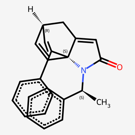 C[C@@H](c1ccccc1)N1C(=O)C=C2C[C@@H]3C=C[C@@]21C(c1ccccc1)=C3